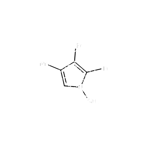 CC(C)c1cn([SiH3])c(C(C)C)c1C(C)C